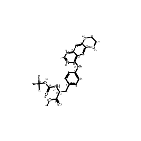 COC(=O)[C@H](Cc1ccc(Nc2ncnc3cc4c(cc23)OCCO4)cc1)NC(=O)OC(C)(C)C